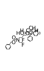 CC(C)(C)[Si](OCC(O)CCN(CC(F)F)C(=O)OCc1ccccc1)(c1ccccc1)c1ccccc1